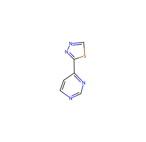 c1cc(-c2nncs2)ncn1